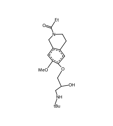 CCC(=O)N1CCc2cc(OCC(O)CNC(C)(C)C)c(OC)cc2C1